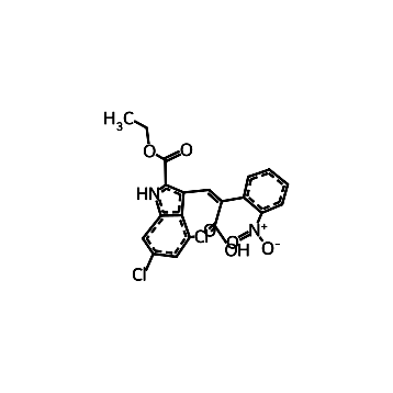 CCOC(=O)c1[nH]c2cc(Cl)cc(Cl)c2c1C=C(C(=O)O)c1ccccc1[N+](=O)[O-]